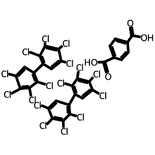 Clc1cc(-c2cc(Cl)c(Cl)c(Cl)c2Cl)c(Cl)c(Cl)c1Cl.Clc1cc(-c2cc(Cl)c(Cl)c(Cl)c2Cl)c(Cl)c(Cl)c1Cl.O=C(O)c1ccc(C(=O)O)cc1